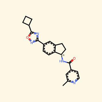 Cc1cc(C(=O)N[C@@H]2CCc3cc(-c4noc(C5CCC5)n4)ccc32)ccn1